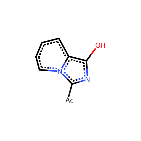 CC(=O)c1nc(O)c2ccccn12